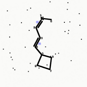 C/N=C\C=C\C1CCC1